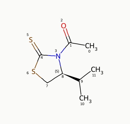 CC(=O)N1C(=S)SC[C@@H]1C(C)C